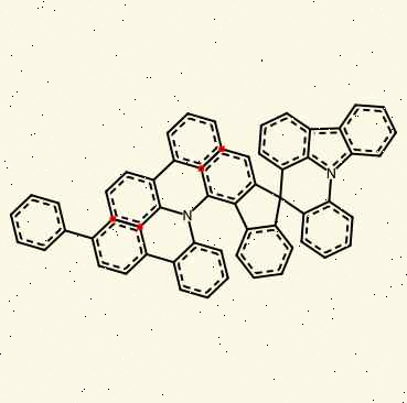 c1ccc(-c2ccc(-c3ccccc3N(c3ccccc3-c3ccccc3)c3cccc4c3-c3ccccc3C43c4ccccc4-n4c5ccccc5c5cccc3c54)cc2)cc1